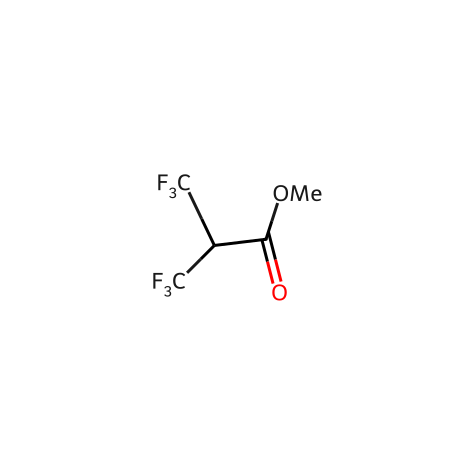 COC(=O)C(C(F)(F)F)C(F)(F)F